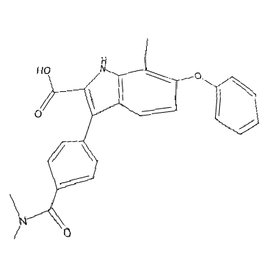 Cc1c(Oc2ccccc2)ccc2c(-c3ccc(C(=O)N(C)C)cc3)c(C(=O)O)[nH]c12